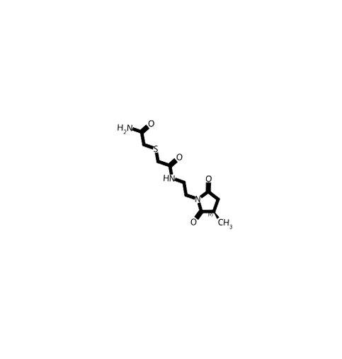 C[C@@H]1CC(=O)N(CCNC(=O)CSCC(N)=O)C1=O